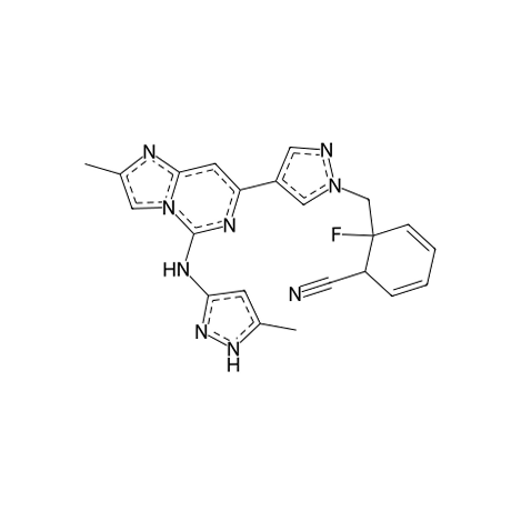 Cc1cn2c(Nc3cc(C)[nH]n3)nc(-c3cnn(CC4(F)C=CC=CC4C#N)c3)cc2n1